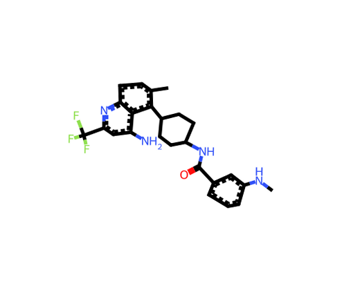 CNc1cccc(C(=O)NC2CCC(c3c(C)ccc4nc(C(F)(F)F)cc(N)c34)CC2)c1